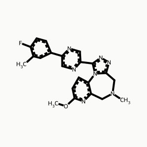 COc1ccc2c(n1)CN(C)Cc1nnc(-c3cnc(-c4ccc(F)c(C)c4)cn3)n1-2